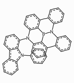 c1ccc(-n2c3ccccc3c3cccc(N4c5cccc6c5B5c7c(cccc74)-c4ccccc4N5c4ccccc4-6)c32)cc1